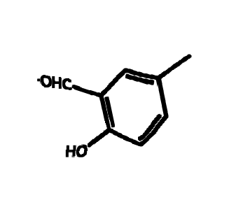 Cc1ccc(O)c([C]=O)c1